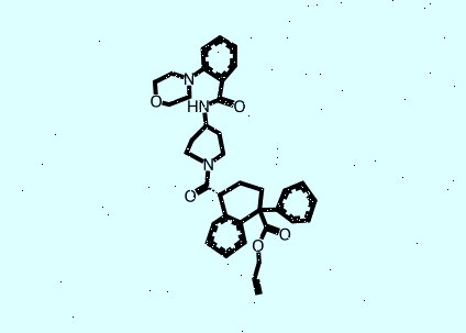 C=CCOC(=O)C1(c2ccccc2)CC[C@@H](C(=O)N2CCC(NC(=O)c3ccccc3N3CCOCC3)CC2)c2ccccc21